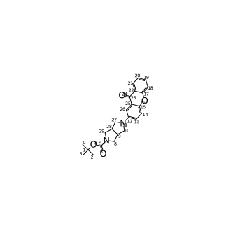 CC(C)(C)OC(=O)N1CC2CN(c3ccc4oc5ccccc5c(=O)c4c3)CC2C1